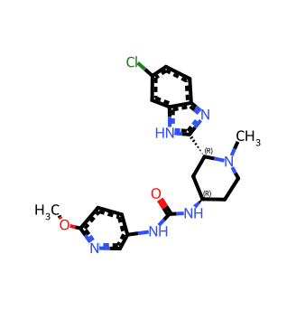 COc1ccc(NC(=O)N[C@@H]2CCN(C)[C@@H](c3nc4ccc(Cl)cc4[nH]3)C2)cn1